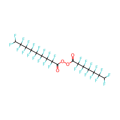 O=C(OOC(=O)C(F)(F)C(F)(F)C(F)(F)C(F)(F)C(F)(F)C(F)(F)C(F)(F)C(F)F)C(F)(F)C(F)(F)C(F)(F)C(F)(F)C(F)(F)C(F)F